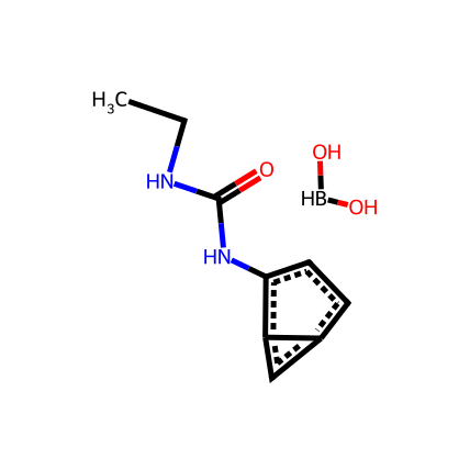 CCNC(=O)Nc1ccc2cc1-2.OBO